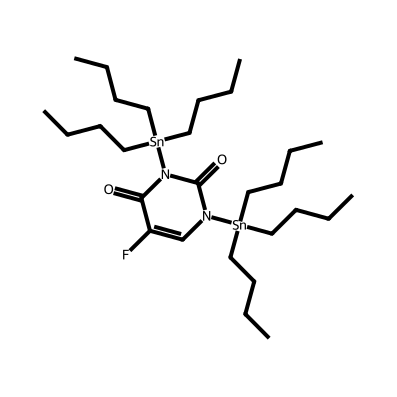 CCC[CH2][Sn]([CH2]CCC)([CH2]CCC)[n]1cc(F)c(=O)[n]([Sn]([CH2]CCC)([CH2]CCC)[CH2]CCC)c1=O